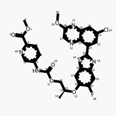 COC(=O)c1ccc(NC(=O)OC[C@H](C)Oc2cc3sc(-c4cc(Cl)cc5nc(OC)cnc45)nc3cc2F)cn1